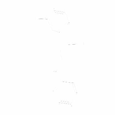 OB(OOCc1ccccc1)c1cccc(F)c1